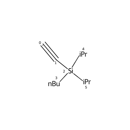 [C]#C[Si](CCCC)(C(C)C)C(C)C